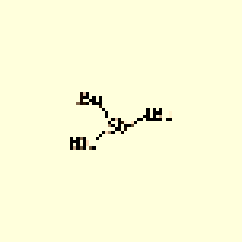 CC(C)(C)[CH2][Sb]([C](C)(C)C)[C](C)(C)C